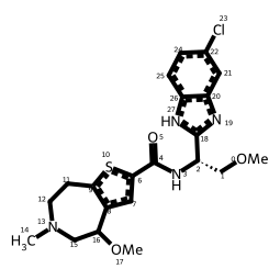 COC[C@H](NC(=O)c1cc2c(s1)CCN(C)CC2OC)c1nc2cc(Cl)ccc2[nH]1